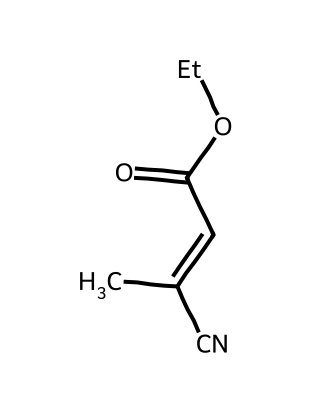 CCOC(=O)C=C(C)C#N